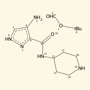 CC(C)(C)OC=O.Nc1c[nH]nc1C(=O)NC1CCNCC1